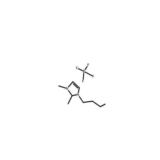 CCCCN1C=CN(C)C1C.F[B-](F)(F)F